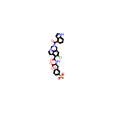 CS(=O)(=O)c1cccc(CC(NC(=O)c2c(Cl)cc3c4c2ccn4CN(C(=O)c2cccc4[nH]ccc24)C3)C(=O)O)c1